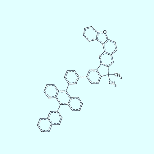 CC1(C)c2ccc(-c3cccc(-c4c5ccccc5c(-c5ccc6ccccc6c5)c5ccccc45)c3)cc2-c2cc3c(ccc4oc5ccccc5c43)cc21